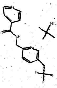 CC(C)(C)N.O=C(NCc1ccc(CC(F)(F)F)cc1)c1ccncc1